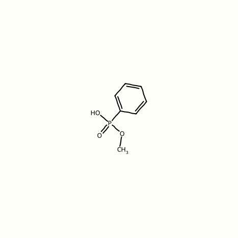 COP(=O)(O)c1ccccc1